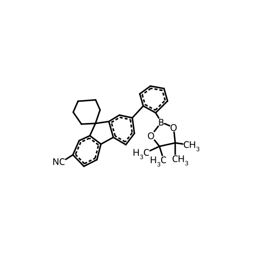 CC1(C)OB(c2ccccc2-c2ccc3c(c2)C2(CCCCC2)c2cc(C#N)ccc2-3)OC1(C)C